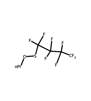 CCCOSC(F)(F)C(F)(F)C(F)(F)C(F)(F)F